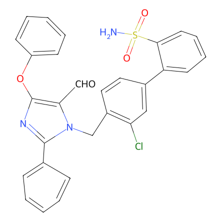 NS(=O)(=O)c1ccccc1-c1ccc(Cn2c(-c3ccccc3)nc(Oc3ccccc3)c2C=O)c(Cl)c1